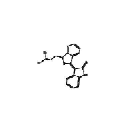 CCN(CC)CCC1OC(=C2C(=O)Nc3ccccc32)c2ccccc21